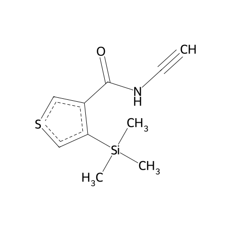 C#CNC(=O)c1cscc1[Si](C)(C)C